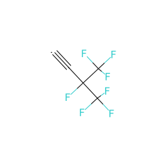 [C]#CC(F)(C(F)(F)F)C(F)(F)F